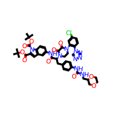 CC(C)(C)OC(=O)c1cc2cc(NC(=O)C(Cc3ccc(NC(=O)NCC4COCCO4)cc3)N3CCN(c4cc(Cl)ccc4-n4cnnn4)C(=O)C3=O)ccc2n1C(=O)OC(C)(C)C